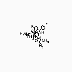 CC(C)N1Cc2c(NC(c3ccc(F)cc3)c3ccc(F)cc3)nc(N(C)CCN(C)C)nc2C1=O